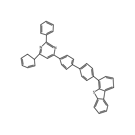 C1=CCC(c2cc(-c3ccc(-c4ccc(-c5cccc6c5sc5ccccc56)cc4)cc3)nc(-c3ccccc3)n2)C=C1